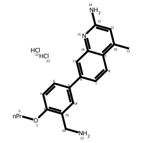 CCCOc1ccc(-c2ccc3c(C)cc(N)nc3c2)cc1CN.Cl.Cl